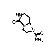 NC(=O)N1CCN2C(=O)NCCC2C1